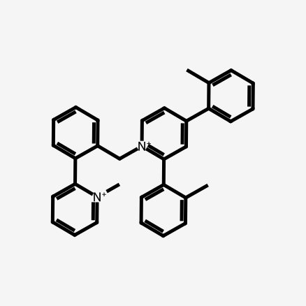 Cc1ccccc1-c1cc[n+](Cc2ccccc2-c2cccc[n+]2C)c(-c2ccccc2C)c1